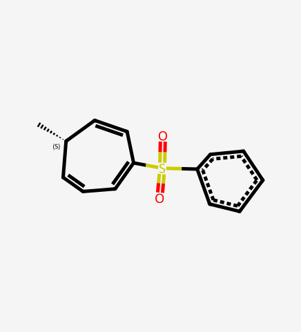 C[C@H]1C=CC=C(S(=O)(=O)c2ccccc2)C=C1